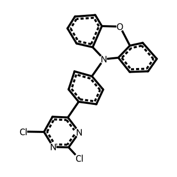 Clc1cc(-c2ccc(N3c4ccccc4Oc4ccccc43)cc2)nc(Cl)n1